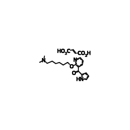 CN(C)CCCCCCOc1ncccc1C(=O)c1ccc[nH]1.O=C(O)C=CC(=O)O